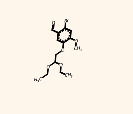 CCOC(COc1cc(C=O)c(Br)cc1OC)OCC